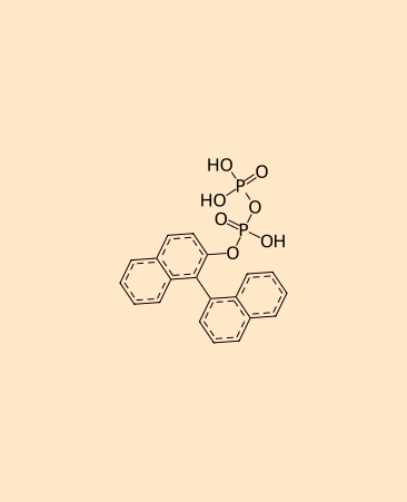 O=P(O)(O)OP(=O)(O)Oc1ccc2ccccc2c1-c1cccc2ccccc12